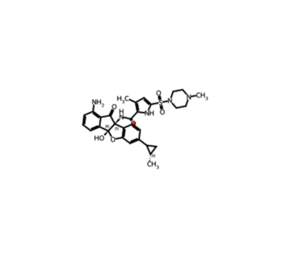 Cc1cc(S(=O)(=O)N2CCN(C)CC2)[nH]c1C(=O)N[C@]12C(=O)c3c(N)cccc3[C@@]1(O)Oc1cc(C3C[C@@H]3C)ccc12